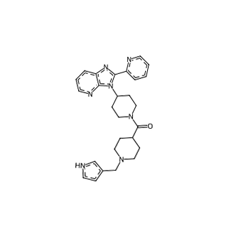 O=C(C1CCN(Cc2cc[nH]c2)CC1)N1CCC(n2c(-c3ccccn3)nc3cccnc32)CC1